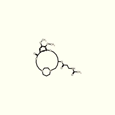 COc1cc2cc(c1OC)OCCCC(OC(=O)CCNC(C)=O)CCN1CCCN(CCCOC2=O)CC1